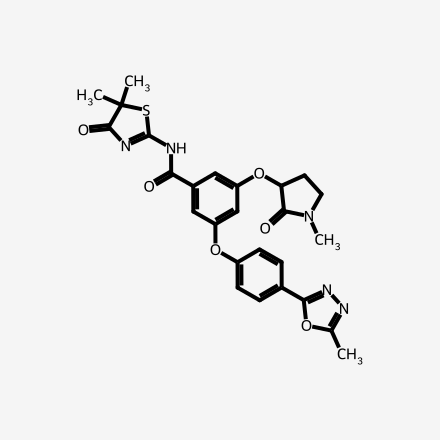 Cc1nnc(-c2ccc(Oc3cc(OC4CCN(C)C4=O)cc(C(=O)NC4=NC(=O)C(C)(C)S4)c3)cc2)o1